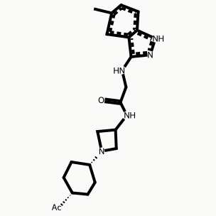 Cc1ccc2[nH]nc(NCC(=O)NC3CN([C@H]4CC[C@@H](C(C)=O)CC4)C3)c2c1